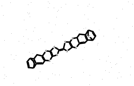 C1=CC2CCC1C1=CC3=C(CC12)SC1=C(S3)S/C(=C2\SC3=C(S2)SC2CC4=C(C=C2S3)C2C=CC4CC2)S1